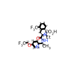 CCN(C(=O)O)[C@H](Cc1ccccc1C(F)(F)F)C(=O)N[C@H](C)c1ccc(OCC(F)(F)F)cn1